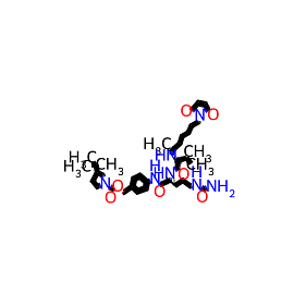 CC(CCCCCN1C(=O)C=CC1=O)N[C@H](C(=O)N[C@@H](CCCNC(N)=O)C(=O)Nc1ccc(COC(=O)N2CCC(C(C)(C)C)C2)cc1)C(C)C